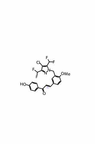 COc1ccc(/C=C/C(=O)c2ccc(O)cc2)cc1Cn1nc(C(F)F)c(Cl)c1C(F)F